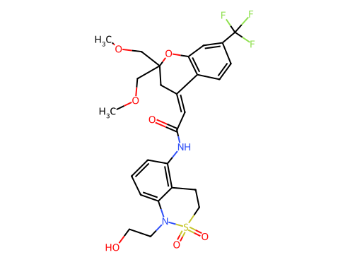 COCC1(COC)CC(=CC(=O)Nc2cccc3c2CCS(=O)(=O)N3CCO)c2ccc(C(F)(F)F)cc2O1